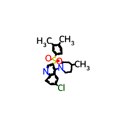 Cc1ccc(S(=O)(=O)c2cnc3ccc(Cl)cc3c2N2CCC(C)CC2)cc1C